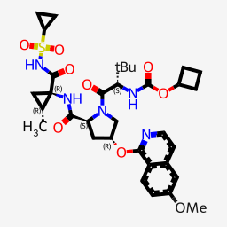 COc1ccc2c(O[C@@H]3C[C@@H](C(=O)N[C@]4(C(=O)NS(=O)(=O)C5CC5)C[C@H]4C)N(C(=O)[C@@H](NC(=O)OC4CCC4)C(C)(C)C)C3)nccc2c1